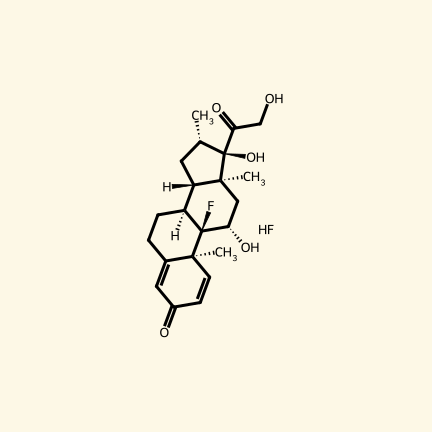 C[C@H]1C[C@H]2[C@@H]3CCC4=CC(=O)C=C[C@]4(C)[C@@]3(F)[C@@H](O)C[C@]2(C)[C@@]1(O)C(=O)CO.F